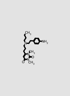 CCCCN(CCCc1cc(=O)n(C)c(=O)n1C)CCc1ccc(N)cc1